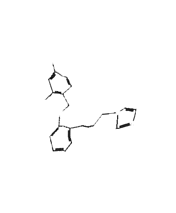 Clc1ccc(COc2ccccc2CCCn2ccnc2)c(Cl)c1